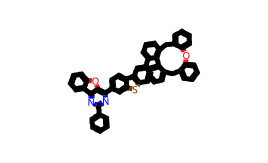 c1ccc(-c2nc(-c3ccc4c(c3)sc3ccc(-c5cccc6c5-c5ccccc5Cc5ccccc5Oc5ccccc5C6)cc34)c3oc4ccccc4c3n2)cc1